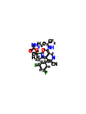 CC(NC(=O)c1cnc(C#N)c(-c2cc(F)cc(F)c2)c1N1CC[C@](C)(OC(N)=O)C1)C(F)(F)F